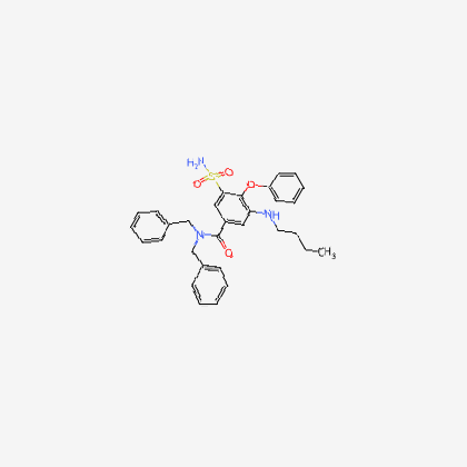 CCCCNc1cc(C(=O)N(Cc2ccccc2)Cc2ccccc2)cc(S(N)(=O)=O)c1Oc1ccccc1